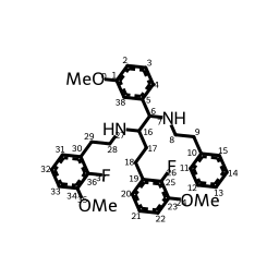 COc1cccc(C(NCCc2ccccc2)C(CCc2cccc(OC)c2F)NCCc2cccc(OC)c2F)c1